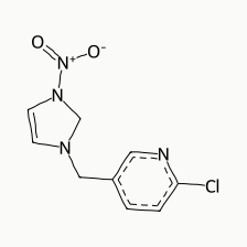 O=[N+]([O-])N1C=CN(Cc2ccc(Cl)nc2)C1